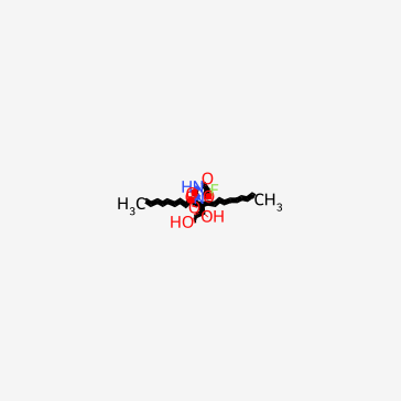 CCCCCCCCCC(=O)C1[C@H](O)[C@@H](CO)O[C@@]1(C(=O)CCCCCCCCC)n1cc(F)c(=O)[nH]c1=O